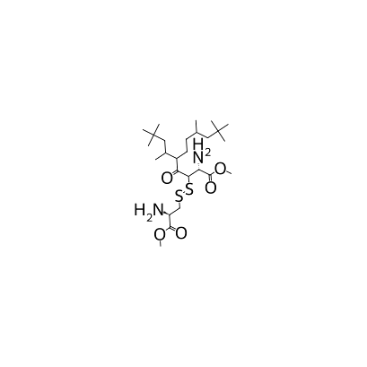 COC(=O)[C@@H](N)C(SSC[C@H](N)C(=O)OC)C(=O)C(CCC(C)CC(C)(C)C)C(C)CC(C)(C)C